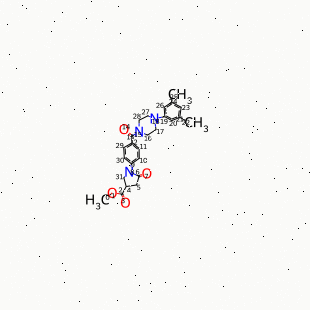 COC(=O)C1CC(=O)N(c2ccc(C(=O)N3CCN(c4cc(C)cc(C)c4)CC3)cc2)C1